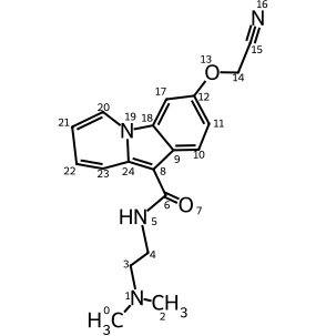 CN(C)CCNC(=O)c1c2ccc(OCC#N)cc2n2ccccc12